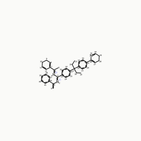 C=C(/N=C(\N=C(/C)C1=CCCC=C1)c1ccc(C(CC)(CC)c2ccc(C3=CCCC=N3)cc2)cc1)c1ccccc1